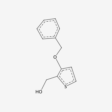 OCc1sccc1OCc1ccccc1